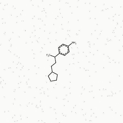 Nc1ccc(C(CCC2CCCC2)C(F)(F)F)cc1